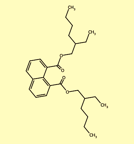 CCCCC(CC)COC(=O)c1cccc2cccc(C(=O)OCC(CC)CCCC)c12